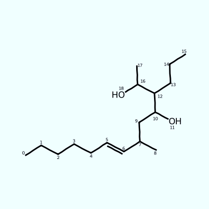 CCCCCC=CC(C)CC(O)C(CCC)C(C)O